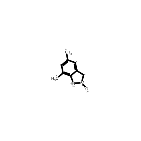 Cc1cc(C)c2c(c1)C[S+]([O-])N2